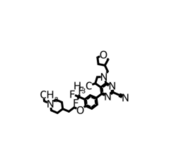 CCN1CCC(CCOc2ccc(-c3nc(C#N)nc4c3C(C)CN4CC3CCOC3)cc2C(F)(F)F)CC1